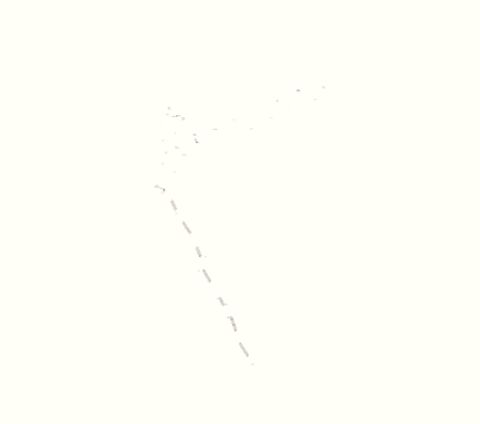 CC#CC#CC#CC#CC#CC#CC#CC(=O)OC[C@H](COP(=O)(O)O)OC(=O)CCCCCCCCCCCC